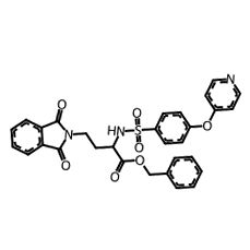 O=C(OCc1ccccc1)C(CCN1C(=O)c2ccccc2C1=O)NS(=O)(=O)c1ccc(Oc2ccncc2)cc1